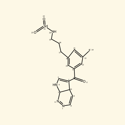 O=C(C1=CNC2N=NC=CC12)c1cc(F)cc(CCCN[SH](=O)=O)c1